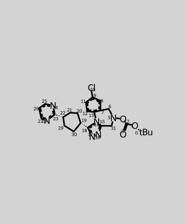 CC(C)(C)OC(=O)ON1Cc2cc(Cl)ccc2-n2c(nnc2[C@H]2CC[C@@H](c3ncccn3)CC2)C1